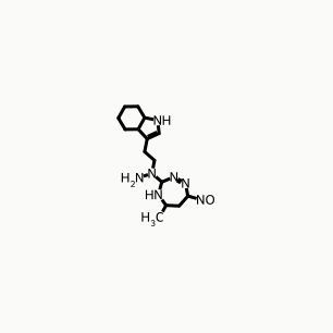 CC1CC(N=O)N=NC(N(N)CCC2=CNC3CCCCC23)N1